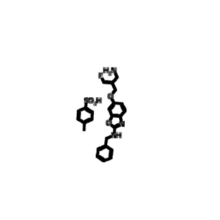 Cc1ccc(S(=O)(=O)O)cc1.NCC(=CF)COc1ccc2nc(NCc3ccccc3)oc2c1